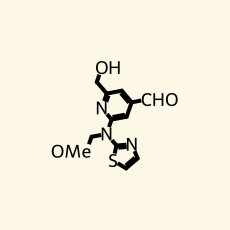 COCN(c1cc(C=O)cc(CO)n1)c1nccs1